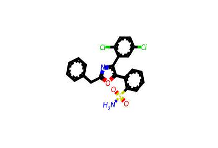 NS(=O)(=O)c1ccccc1-c1oc(Cc2ccccc2)nc1-c1cc(Cl)ccc1Cl